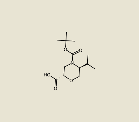 CC(C)[C@H]1CO[C@H](C(=O)O)CN1C(=O)OC(C)(C)C